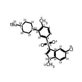 Cc1ccc(S(=O)(=O)c2cn(C)c3ccc(Cl)cc23)cc1N1CCN(C(C)(C)C)CC1